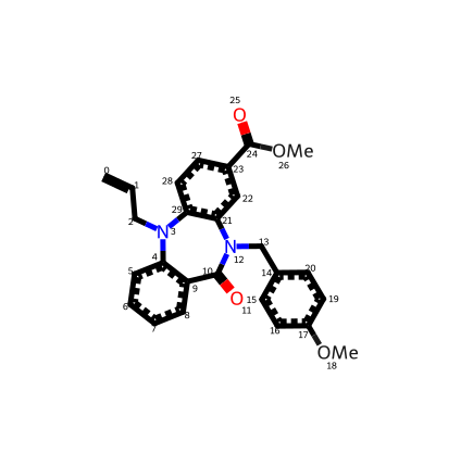 C=CCN1c2ccccc2C(=O)N(Cc2ccc(OC)cc2)c2cc(C(=O)OC)ccc21